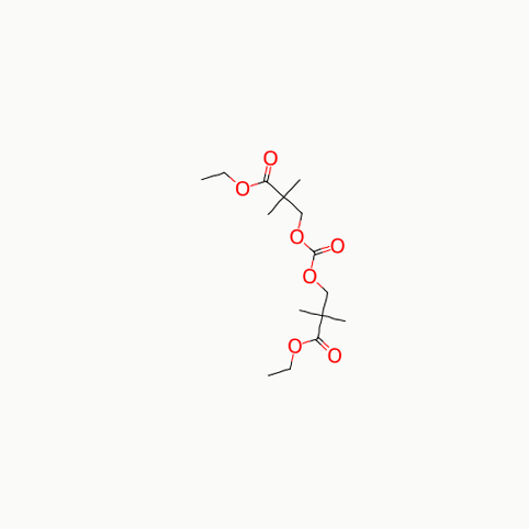 CCOC(=O)C(C)(C)COC(=O)OCC(C)(C)C(=O)OCC